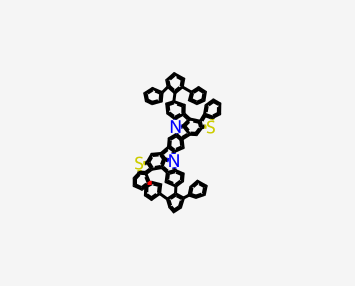 c1ccc(-c2cccc(-c3ccccc3)c2-c2ccc3c(c2)c2c4c(cc5c6cc7c(cc6n3c52)c2cc3sc5ccccc5c3c3c5cc(-c6c(-c8ccccc8)cccc6-c6ccccc6)ccc5n7c23)sc2ccccc24)cc1